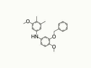 COc1ccc(Nc2cc(C)c(C)c(OC)c2)cc1OCc1ccccc1